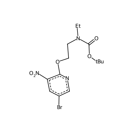 CCN(CCOc1ncc(Br)cc1[N+](=O)[O-])C(=O)OC(C)(C)C